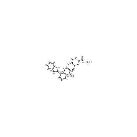 O=C(O)NC1CCN(Cc2cc3c(-c4cc5ccccc5o4)cncc3c(Cl)c2Cl)CC1